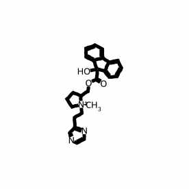 C[N@+]1(CCc2cnccn2)CCCC1COC(=O)C1(O)c2ccccc2-c2ccccc21